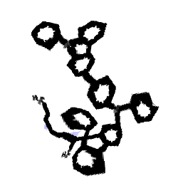 C=C/C=C\C=C(/C)C1(c2ccccc2)c2ccccc2-c2ccc(N(c3ccccc3)c3ccc(-c4ccc5c(c4)c4ccccc4n5-c4ccccc4)cc3)cc21